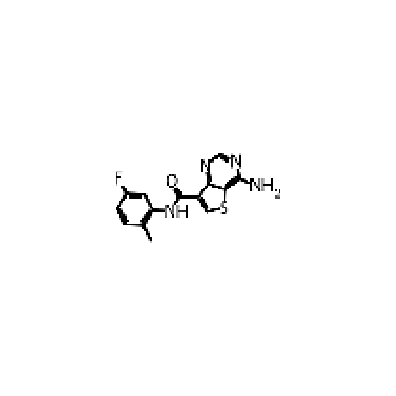 Cc1ccc(F)cc1NC(=O)c1csc2c(N)ncnc12